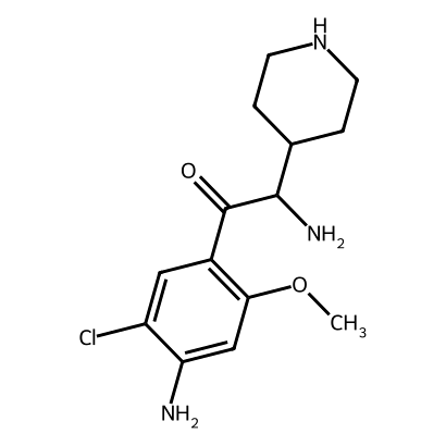 COc1cc(N)c(Cl)cc1C(=O)C(N)C1CCNCC1